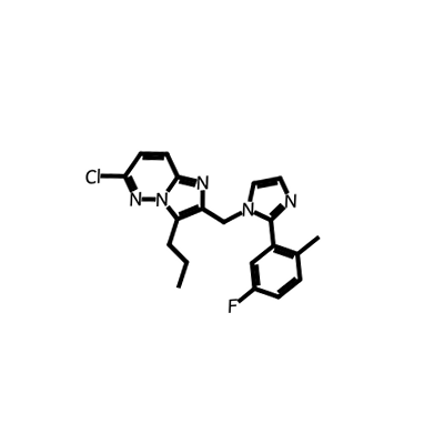 CCCc1c(Cn2ccnc2-c2cc(F)ccc2C)nc2ccc(Cl)nn12